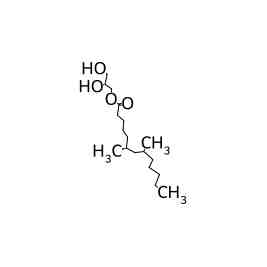 CCCCCC(C)C[C@@H](C)CCCCC(=O)OC[C@H](O)CO